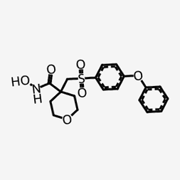 O=C(NO)C1(CS(=O)(=O)c2ccc(Oc3ccccc3)cc2)CCOCC1